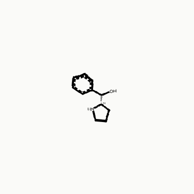 OC(c1ccccc1)[C@@H]1CCCN1